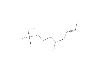 COC(C)(C)CCCC(C)C/C=C/C(C)=O